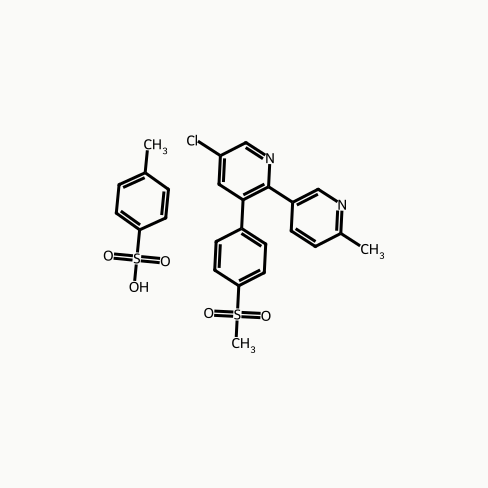 Cc1ccc(-c2ncc(Cl)cc2-c2ccc(S(C)(=O)=O)cc2)cn1.Cc1ccc(S(=O)(=O)O)cc1